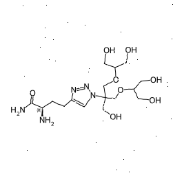 NC(=O)[C@H](N)CCc1cn(C(CO)(COC(CO)CO)COC(CO)CO)nn1